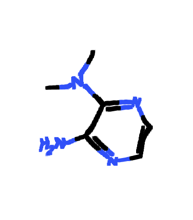 CN(C)c1nccnc1N